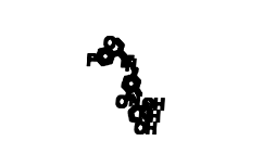 O=C1c2ccc(CN3CC(=C4CCOc5cc(F)ccc54)C3)cc2CN1C1CCC(O)NC1O